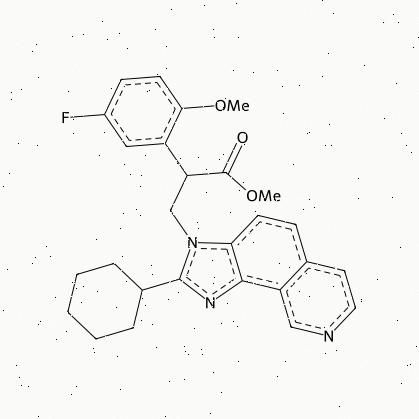 COC(=O)C(Cn1c(C2CCCCC2)nc2c3cnccc3ccc21)c1cc(F)ccc1OC